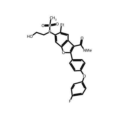 CCc1cc2c(C(=O)NC)c(-c3ccc(Oc4ccc(F)cc4)cc3)oc2cc1N(CCO)S(C)(=O)=O